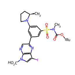 C[C@@H]1CCCN1c1cc(-c2cnc3c(n2)c(I)cn3C(=O)O)cc(S(=O)(=O)N(C)C(=O)OC(C)(C)C)c1